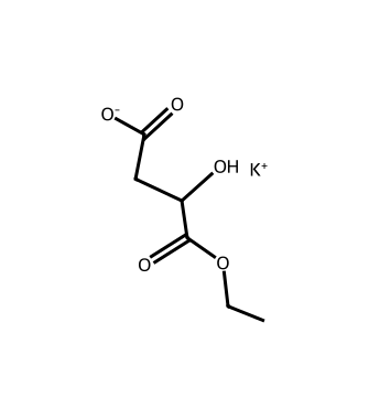 CCOC(=O)C(O)CC(=O)[O-].[K+]